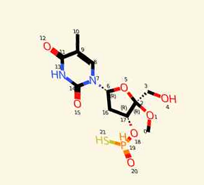 CO[C@]1(CO)O[C@@H](n2cc(C)c(=O)[nH]c2=O)C[C@H]1O[PH](=O)S